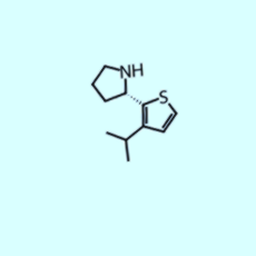 CC(C)c1ccsc1[C@@H]1CCCN1